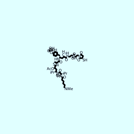 CNCCCCCC(=O)N[C@H](C(=O)N(C)[C@H](C[C@@H](OC(C)=O)c1nc(C(=O)N[C@@H](Cc2ccc(OP(=O)(O)O)cc2)CC(C)C(=O)NCCP(=O)(O)CCN2C(=O)CC(S)C2=O)cs1)C(C)C)C(C)C